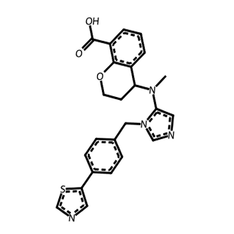 CN(c1cncn1Cc1ccc(-c2cncs2)cc1)C1CCOc2c(C(=O)O)cccc21